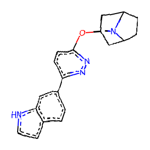 CN1C2CCC1CC(Oc1ccc(-c3ccc4cc[nH]c4c3)nn1)C2